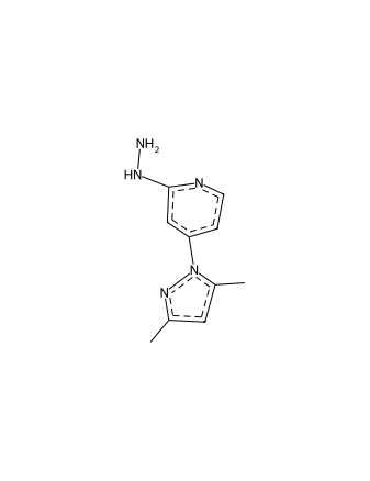 Cc1cc(C)n(-c2ccnc(NN)c2)n1